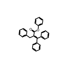 O=C(Oc1ccccc1)C(Cc1ccccc1)=C(c1ccccc1)c1ccccc1